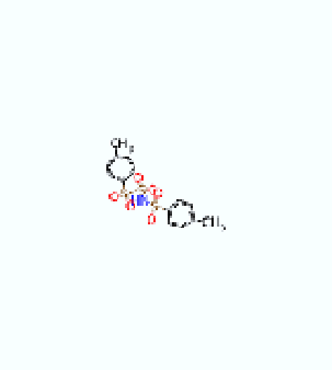 Cc1ccc(S(=O)(=O)NS(=O)(=O)S(=O)(=O)c2ccc(C)cc2)cc1